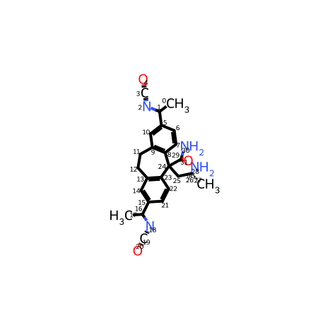 CC(N=C=O)c1ccc2c(c1)CCc1cc(C(C)N=C=O)ccc1C2(C[C@@H](C)N)C(N)=O